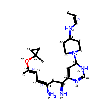 C/C=C\NC1CCN(C2C=C(C(=N)C/C(N)=C\C=C(/C)OC3(C)CC3)N=CN2)CC1